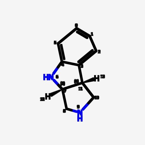 c1ccc2c(c1)N[C@@H]1CNC[C@H]21